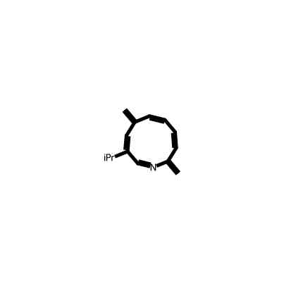 C=c1ccccc(=C)ncc(C(C)C)c1